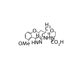 COc1cccc(OCCC(C)(C)[C@H]2CN(C(=O)O)CCO2)c1-c1cc(N)n[nH]1